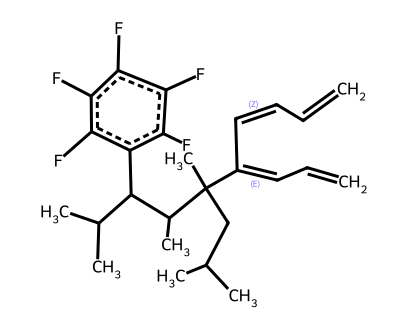 C=C/C=C\C(=C/C=C)C(C)(CC(C)C)C(C)C(c1c(F)c(F)c(F)c(F)c1F)C(C)C